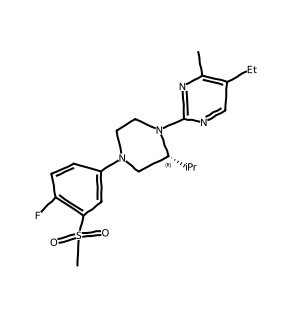 CCc1cnc(N2CCN(c3ccc(F)c(S(C)(=O)=O)c3)C[C@H]2C(C)C)nc1C